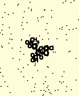 Cn1c(=O)oc2cc(-n3cc(OC(=O)O)c(=O)n(C4CCCc5c(Cl)cccc54)c3=O)ccc21